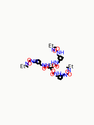 CC/C(C)=N/OC(=O)NCc1cccc(CNC(=O)OCC(CC)(COC(=O)NCc2cccc(CNC(=O)O/N=C(\C)CC)c2)COC(=O)NCc2cccc(CNC(=O)O/N=C(\C)CC)c2)c1